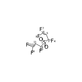 O=S(=O)(C(F)C=C(F)F)C(F)C=C(F)F